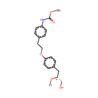 CCO[C@@H](CO)Cc1ccc(OCCc2ccc(NC(=O)OC(C)(C)C)cc2)cc1